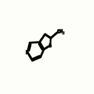 CC1Cc2cnccc2S1